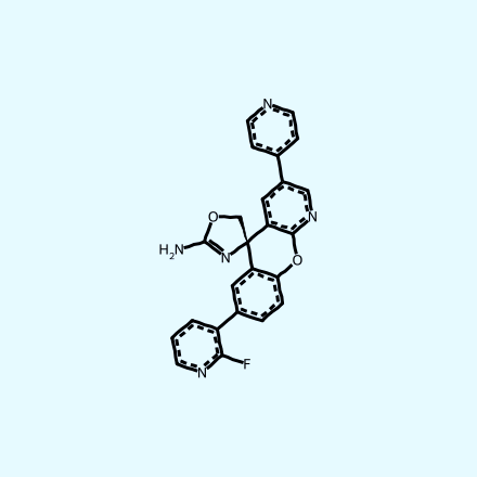 NC1=N[C@@]2(CO1)c1cc(-c3cccnc3F)ccc1Oc1ncc(-c3ccncc3)cc12